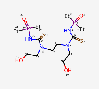 CCP(=O)(CC)NC(=S)N(CCO)CCN(CCO)C(=S)NP(=O)(CC)CC